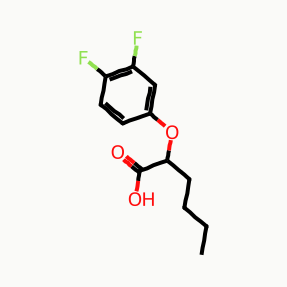 CCCCC(Oc1ccc(F)c(F)c1)C(=O)O